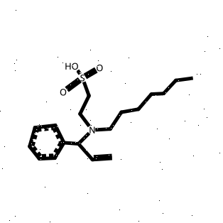 C=CC(c1ccccc1)N(CCCCCCC)CCS(=O)(=O)O